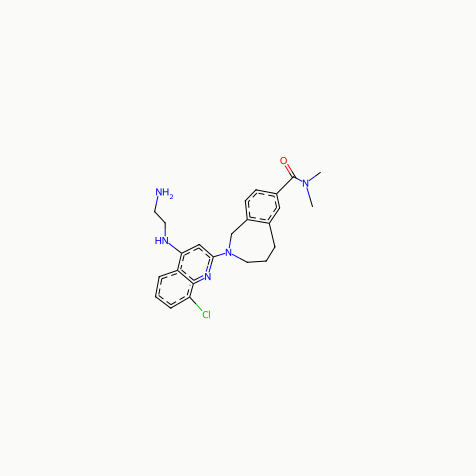 CN(C)C(=O)c1ccc2c(c1)CCCN(c1cc(NCCN)c3cccc(Cl)c3n1)C2